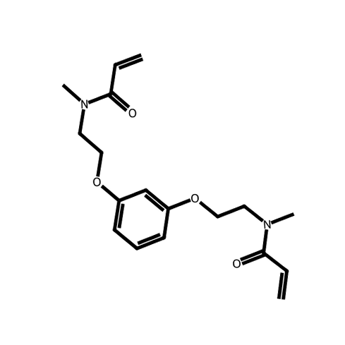 C=CC(=O)N(C)CCOc1cccc(OCCN(C)C(=O)C=C)c1